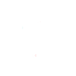 Oc1cc(F)c2c(c1)CCCO2